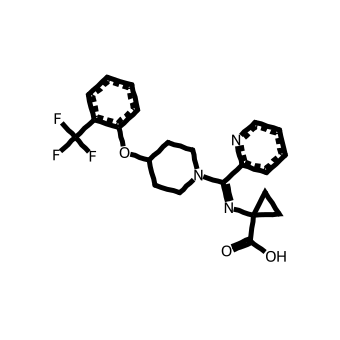 O=C(O)C1(N=C(c2ccccn2)N2CCC(Oc3ccccc3C(F)(F)F)CC2)CC1